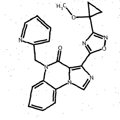 COC1(c2noc(-c3ncn4c3c(=O)n(Cc3ccccn3)c3ccccc34)n2)CC1